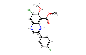 COC(=O)c1c(OC)c(Br)cc2ncc(-c3ccc(F)cc3)nc12